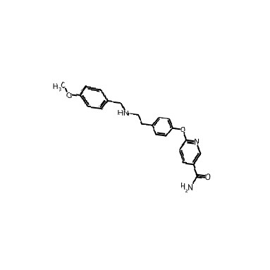 COc1ccc(CNCCc2ccc(Oc3ccc(C(N)=O)cn3)cc2)cc1